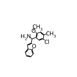 COc1cc(C)c(Cl)cc1C(N)c1cc2ccccc2o1